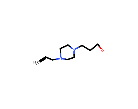 C=CCN1CCN(CCC[O])CC1